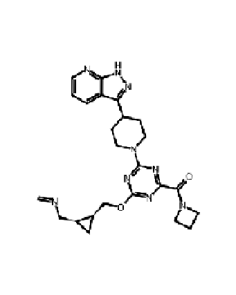 C=NC[C@@H]1C[C@@H]1COc1nc(C(=O)N2CCC2)nc(N2CCC(c3n[nH]c4ncccc34)CC2)n1